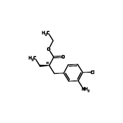 CCOC(=O)[C@H](CC)Cc1ccc(Cl)c(N)c1